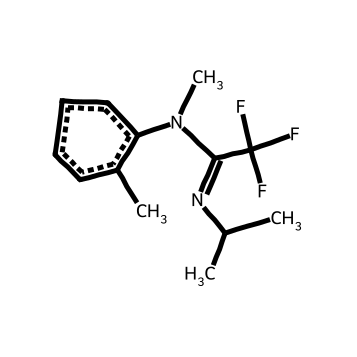 Cc1ccccc1N(C)/C(=N/C(C)C)C(F)(F)F